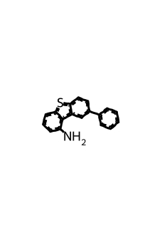 Nc1cccc2sc3ccc(-c4ccccc4)cc3c12